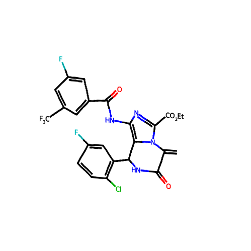 C=C1C(=O)NC(c2cc(F)ccc2Cl)c2c(NC(=O)c3cc(F)cc(C(F)(F)F)c3)nc(C(=O)OCC)n21